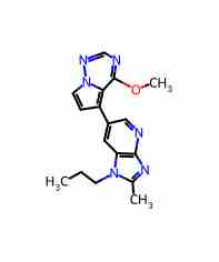 CCCn1c(C)nc2ncc(-c3ccn4ncnc(OC)c34)cc21